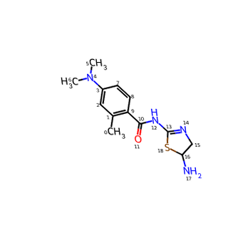 Cc1cc(N(C)C)ccc1C(=O)NC1=NCC(N)S1